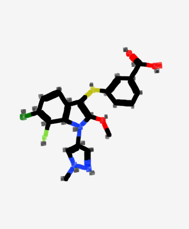 COc1c(Sc2cccc(C(=O)O)c2)c2ccc(Cl)c(F)c2n1-c1cnn(C)c1